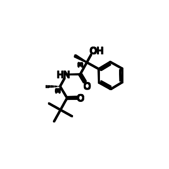 C[C@H](NC(=O)[C@](C)(O)c1ccccc1)C(=O)C(C)(C)C